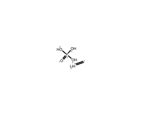 C=C.O=P(O)(O)O.[LiH]